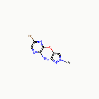 CC(C)n1cc(Oc2nc(Br)cnc2N)cn1